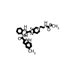 COC(=O)NCCN1CCc2nc(C(=O)N[C@@H]3CCCC[C@@H]3NC(=O)c3cc4cc(C)ccc4[nH]3)sc2C1